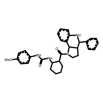 COc1ccc(NC(=O)NC2CCCCC2C(=O)N2CCC3C(c4ccccc4)Nc4ccccc4C32)cc1